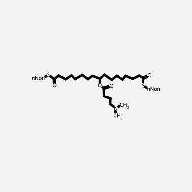 CCCCCCCCCSC(=O)CCCCCCCC(CCCCCCCC(=O)SCCCCCCCCC)OC(=O)CCCN(C)C